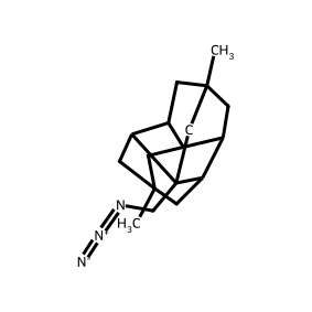 CC12CC3C4CC5(C)CC3C(C1)C(CN=[N+]=[N-])(C5)C4C2